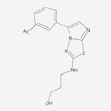 CC(=O)c1cccc(-c2cnc3sc(NCCCO)nn23)c1